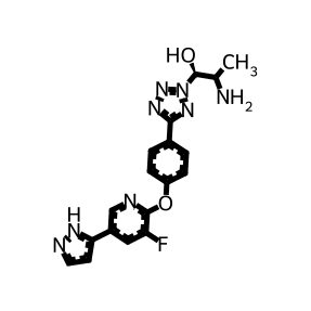 CC(N)[C@H](O)n1nnc(-c2ccc(Oc3ncc(-c4ccn[nH]4)cc3F)cc2)n1